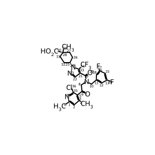 Cc1cc(C)c(C(=O)CN(Cc2cc(F)cc(F)c2)C(=O)c2cnn([C@H]3CC[C@](C)(C(=O)O)CC3)c2C(F)(F)F)c(Cl)n1